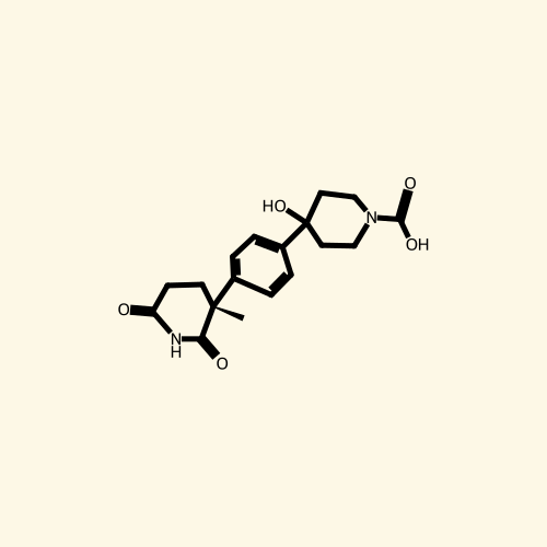 C[C@]1(c2ccc(C3(O)CCN(C(=O)O)CC3)cc2)CCC(=O)NC1=O